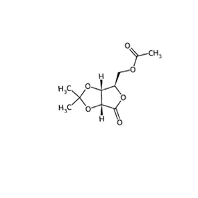 CC(=O)OC[C@H]1OC(=O)[C@@H]2OC(C)(C)O[C@H]12